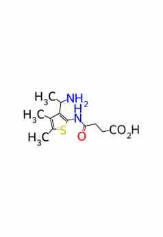 Cc1sc(NC(=O)CCC(=O)O)c(C(C)N)c1C